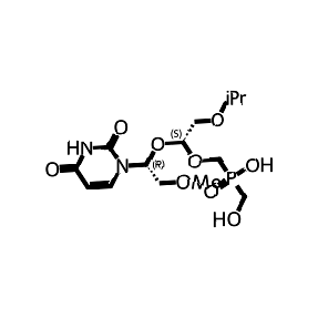 COC[C@@H](O[C@H](COC(C)C)OCP(=O)(O)CO)n1ccc(=O)[nH]c1=O